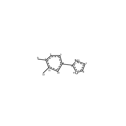 Cc1ccc(-c2nc[c]o2)cc1C